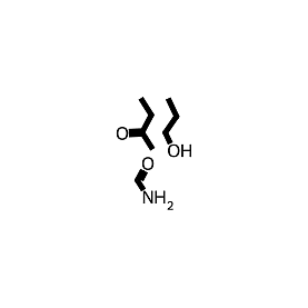 CCC(C)=O.CCCO.NC=O